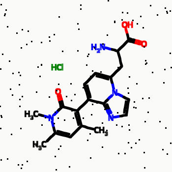 Cc1cc(C)n(C)c(=O)c1-c1ccc(CC(N)C(=O)O)n2ccnc12.Cl